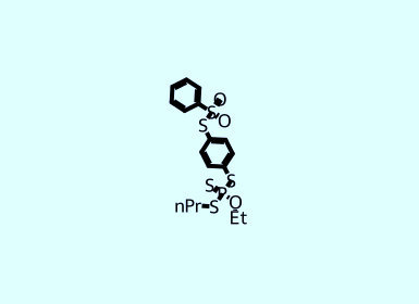 CCCSP(=S)(OCC)Sc1ccc(SS(=O)(=O)c2ccccc2)cc1